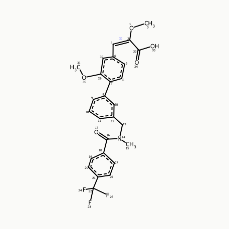 CO/C(=C/c1ccc(-c2cccc(CN(C)C(=O)c3ccc(C(F)(F)F)cc3)c2)c(OC)c1)C(=O)O